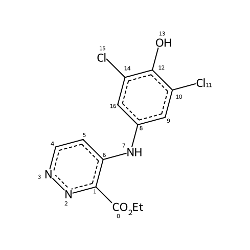 CCOC(=O)c1nnccc1Nc1cc(Cl)c(O)c(Cl)c1